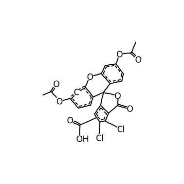 CC(=O)Oc1ccc2c(c1)Oc1cc(OC(C)=O)ccc1C21OC(=O)c2c1cc(C(=O)O)c(Cl)c2Cl